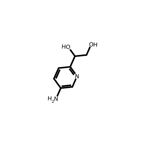 Nc1ccc(C(O)CO)nc1